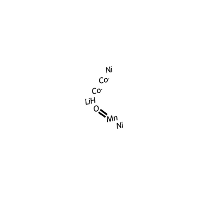 [Co].[Co].[LiH].[Ni].[Ni].[O]=[Mn]